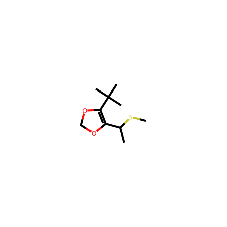 CSC(C)C1=C(C(C)(C)C)OCO1